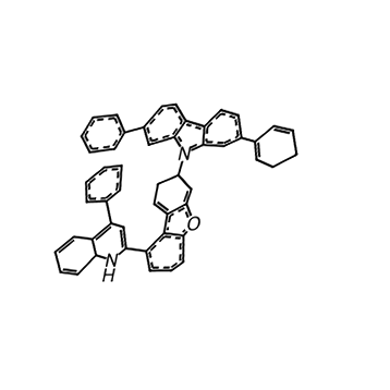 C1=CC2=C(c3ccccc3)C=C(c3cccc4oc5c(c34)=CCC(n3c4cc(C6=CCCC=C6)ccc4c4ccc(-c6ccccc6)cc43)C=5)NC2C=C1